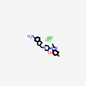 Cc1ccc2c(c1)nc(C)n2C1CCN(CC2Cc3ccc(N)cc3C2)C[C@@H]1O.Cl.Cl.Cl